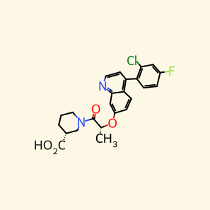 C[C@@H](Oc1ccc2c(-c3ccc(F)cc3Cl)ccnc2c1)C(=O)N1CCC[C@@H](C(=O)O)C1